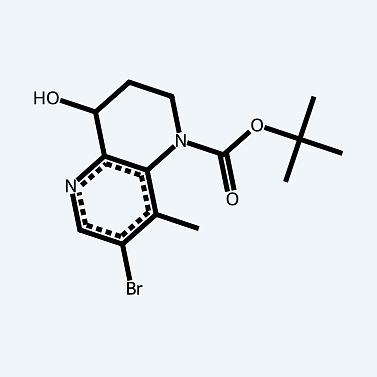 Cc1c(Br)cnc2c1N(C(=O)OC(C)(C)C)CCC2O